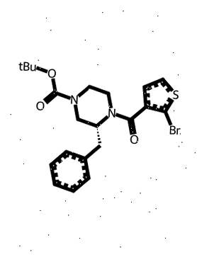 CC(C)(C)OC(=O)N1CCN(C(=O)c2ccsc2Br)[C@H](Cc2ccccc2)C1